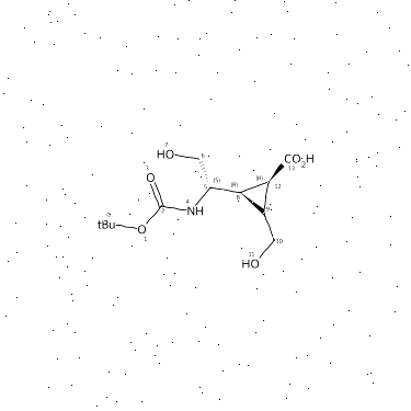 CC(C)(C)OC(=O)N[C@H](CO)[C@@H]1C(CO)[C@@H]1C(=O)O